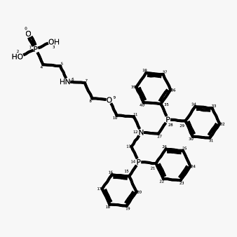 O=P(O)(O)CCNCCOCCN(CP(c1ccccc1)c1ccccc1)CP(c1ccccc1)c1ccccc1